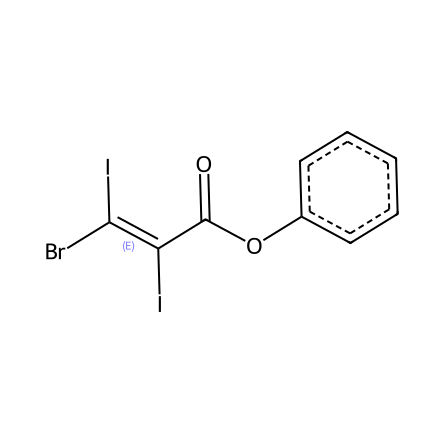 O=C(Oc1ccccc1)/C(I)=C(/Br)I